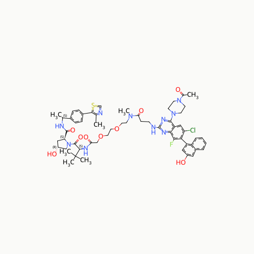 CC(=O)N1CCN(c2nc(NCCC(=O)N(C)CCOCCOCC(=O)N[C@H](C(=O)N3C[C@H](O)C[C@H]3C(=O)N[C@@H](C)c3ccc(-c4scnc4C)cc3)C(C)(C)C)nc3c(F)c(-c4cc(O)cc5ccccc45)c(Cl)cc23)CC1